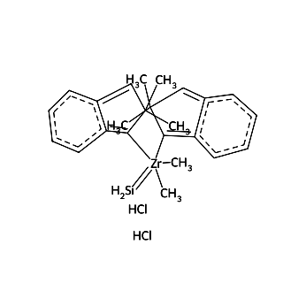 CC1(C)C=c2ccccc2=[C]1[Zr]([CH3])([CH3])(=[SiH2])[C]1=c2ccccc2=CC1(C)C.Cl.Cl